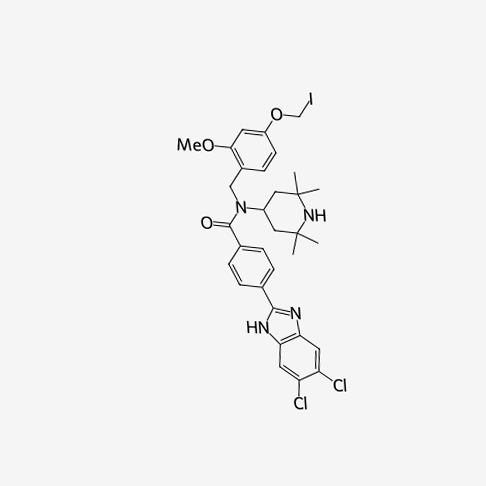 COc1cc(OCI)ccc1CN(C(=O)c1ccc(-c2nc3cc(Cl)c(Cl)cc3[nH]2)cc1)C1CC(C)(C)NC(C)(C)C1